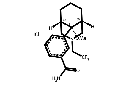 CO[C@@]1(c2cccc(C(N)=O)c2)[C@@H]2CCC[C@H]1CN(CC(F)(F)F)C2.Cl